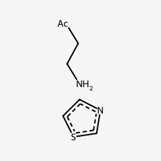 CC(=O)CCN.c1cscn1